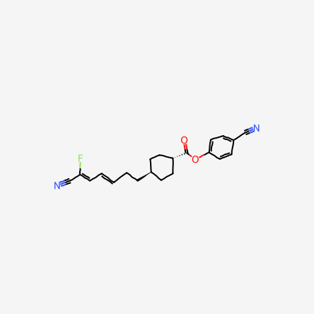 N#CC(F)=CC=CCC[C@H]1CC[C@H](C(=O)Oc2ccc(C#N)cc2)CC1